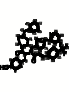 O=C([C@H](Cc1ccc(O)cc1)N(Cc1ccc(-c2ccccn2)cc1)C(=O)/C=C/c1ccc(C(F)(F)F)cc1)N1CCN(Cc2ccccc2)CC1